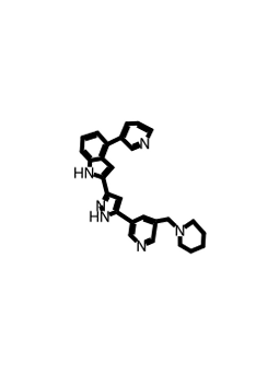 c1cncc(-c2cccc3[nH]c(-c4cc(-c5cncc(CN6CCCCC6)c5)[nH]n4)cc23)c1